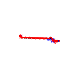 N#Cc1ccc(N2C(=O)NC3(CCN(C(=O)Nc4cccc(/C(N)=C/N(N)CCOCCOCCOCCOCCOCCOCCOCCOCCOCCOCCOCCOCCC(=O)ON5C(=O)CCC5=O)c4)CC3)C2=O)cc1